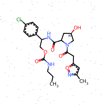 CCCNC(=O)OCC(NC(=O)C1C[C@@H](O)CN1C(=O)Cc1cc(C)no1)c1ccc(Cl)cc1